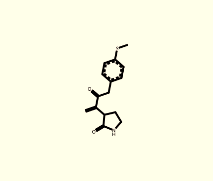 C=C(C(=O)Cc1ccc(SC)cc1)C1CCNC1=O